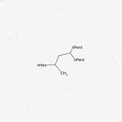 CCCCCCC(C)CC(CCCCC)CCCCC